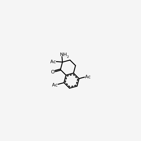 CC(=O)c1ccc(C(C)=O)c2c1CCC(N)(C(C)=O)C2=O